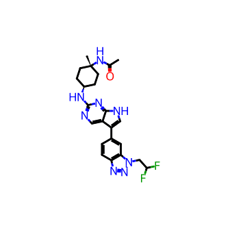 CC(=O)N[C@]1(C)CC[C@@H](Nc2ncc3c(-c4ccc5nnn(CC(F)F)c5c4)c[nH]c3n2)CC1